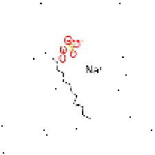 CCCCCCCCCCC(C)OOS(=O)(=O)[O-].[Na+]